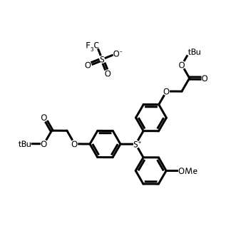 COc1cccc([S+](c2ccc(OCC(=O)OC(C)(C)C)cc2)c2ccc(OCC(=O)OC(C)(C)C)cc2)c1.O=S(=O)([O-])C(F)(F)F